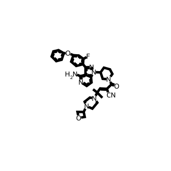 CC(C)(C=C(C#N)C(=O)N1CCCC(n2nc(-c3ccc(Oc4ccccc4)cc3F)c3c(N)nccc32)C1)N1CCN(C2COC2)CC1